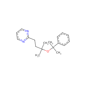 C[Si](C)(CCc1ncccn1)O[Si](C)(C)c1ccccc1